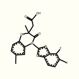 Cc1ccc2c(c1)N(c1nc3c(F)c(F)ccc3s1)C(=O)C(C)(CC(=O)O)O2